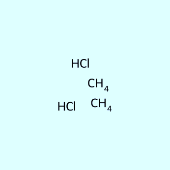 C.C.Cl.Cl